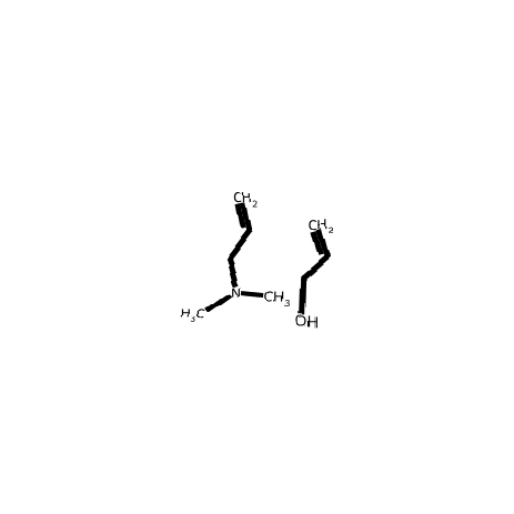 C=CCN(C)C.C=CCO